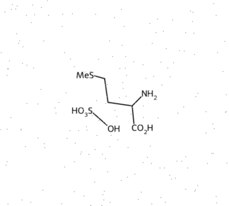 CSCCC(N)C(=O)O.O=S(=O)(O)O